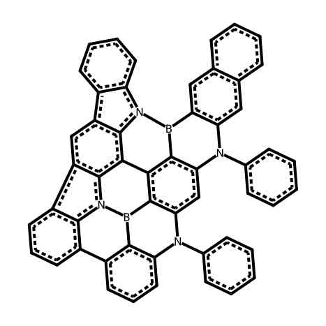 c1ccc(N2c3cc4ccccc4cc3B3c4c2cc2c5c4-c4c6c(cc7c8cccc9c8n(c47)B5c4c-9cccc4N2c2ccccc2)c2ccccc2n63)cc1